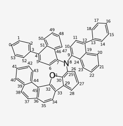 c1ccc(-c2ccc(N(c3ccc(-c4ccccc4)c4ccccc34)c3cccc4c3oc3c4ccc4ccc5ccccc5c43)c3ccccc23)cc1